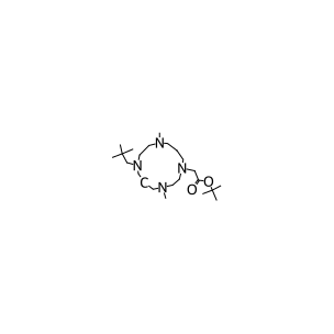 CN1CCCN(CC(C)(C)C)CCN(C)CCCN(CC(=O)OC(C)(C)C)CC1